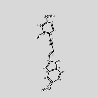 CNc1ccc(C#C/C=C/c2cc3cc(OC)ccc3o2)c(F)n1